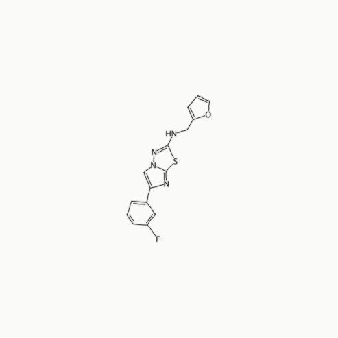 Fc1cccc(-c2cn3nc(NCc4ccco4)sc3n2)c1